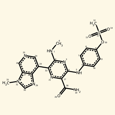 CNc1nc(Nc2ccc(OS(C)(=O)=O)cc2)c(C(N)=O)nc1-c1cncc2c1ncn2C